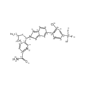 CC(C)CC(c1ccc(C(N)=O)nc1)n1cc2cc(-c3ccc(C(F)(F)F)cc3Cl)ccc2n1